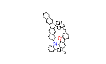 Cc1ccccc1N(c1ccc2cc3c(cc2c1)C(C)(C)c1cc2ccccc2cc1-3)c1cccc2c1oc1ccccc12